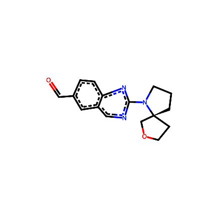 O=Cc1ccc2nc(N3CCC[C@]34CCOC4)ncc2c1